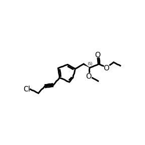 CCOC(=O)[C@H](Cc1ccc(C#CCCl)cc1)OC